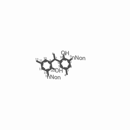 CCCCCCCCCc1cc(C)cc(C(C)c2cc(C)cc(CCCCCCCCC)c2O)c1O